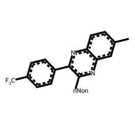 CCCCCCCCCc1nc2cc(C)ccc2nc1-c1ccc(C(F)(F)F)cc1